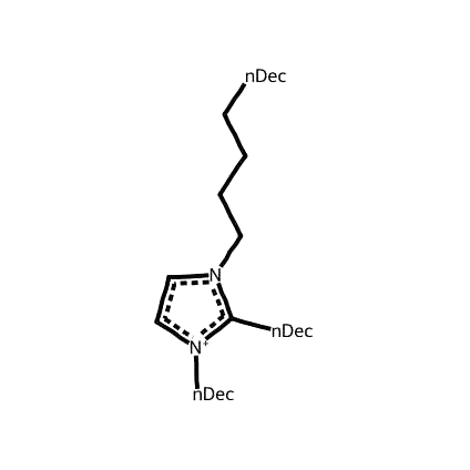 CCCCCCCCCCCCCCn1cc[n+](CCCCCCCCCC)c1CCCCCCCCCC